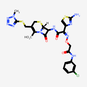 Cn1nnnc1SCC1=C(C(=O)O)N2C(=O)C(NC(=O)/C(=N\OCC(=O)Nc3cccc(Cl)c3)c3csc(N)n3)[C@H]2SC1